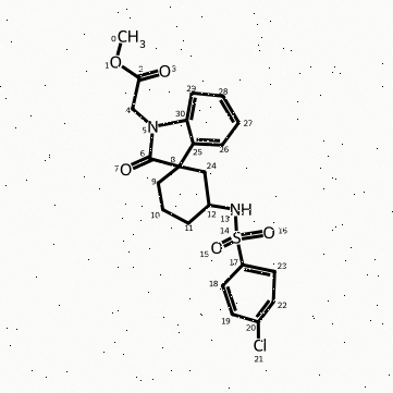 COC(=O)CN1C(=O)C2(CCCC(NS(=O)(=O)c3ccc(Cl)cc3)C2)c2ccccc21